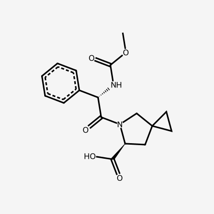 COC(=O)N[C@H](C(=O)N1CC2(CC2)C[C@H]1C(=O)O)c1ccccc1